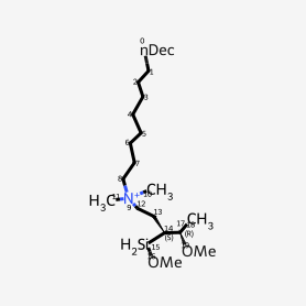 CCCCCCCCCCCCCCCCCC[N+](C)(C)CC[C@H]([SiH2]OC)[C@@H](C)OC